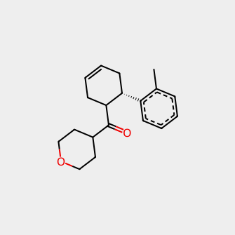 Cc1ccccc1[C@H]1CC=CCC1C(=O)C1CCOCC1